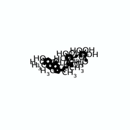 C[C@H](CC[C@@H](O[C@@H]1O[C@H](CC[C@@H]2O[C@H](CO)[C@@H](O)[C@H](O)[C@H]2O)[C@@H](O)[C@H](O)[C@H]1O)C(C)(C)O)C1CC[C@@]2(C)C3CC=C4C(CC[C@H](O)C4(C)C)[C@]3(C)C(=O)C[C@]12C